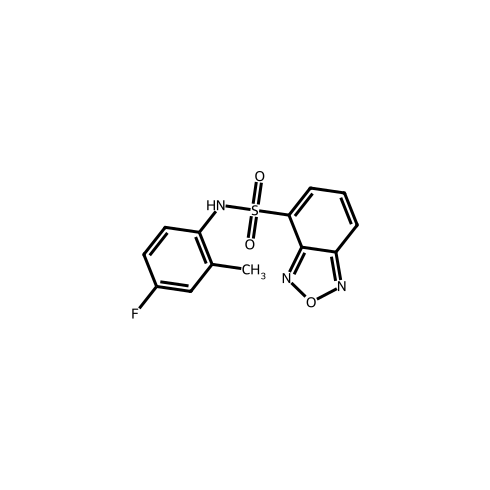 Cc1cc(F)ccc1NS(=O)(=O)c1cccc2nonc12